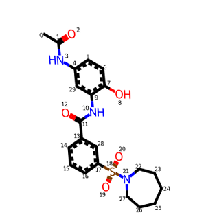 CC(=O)Nc1ccc(O)c(NC(=O)c2cccc(S(=O)(=O)N3CCCCCC3)c2)c1